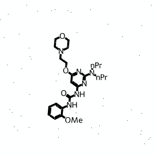 CCCN(CCC)c1nc(NC(=O)Nc2ccccc2OC)cc(OCCN2CCOCC2)n1